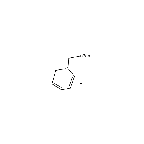 CCCCCCN1C=CC=CC1.I